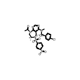 CC(=O)N1C[C@@H](C)N(S(=O)(=O)c2ccc([N+](=O)[O-])cc2)[C@@H](O)c2c(N(C)Cc3ccc(Cl)cc3)ncnc21